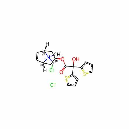 C[N+]1(CCl)[C@@H]2C=C[C@H]1C[C@H](OC(=O)C(O)(c1cccs1)c1cccs1)C2.[Cl-]